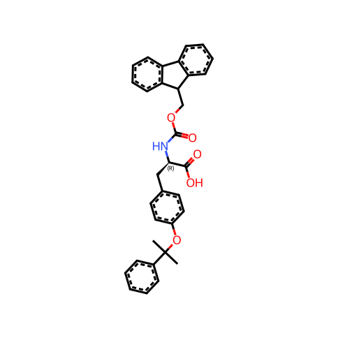 CC(C)(Oc1ccc(C[C@@H](NC(=O)OCC2c3ccccc3-c3ccccc32)C(=O)O)cc1)c1ccccc1